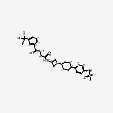 CS(=O)(=O)Nc1ccc(C2CCC(N3CC(NC(=O)CNC(=O)c4cccc(C(F)(F)F)c4)C3)CC2)nc1